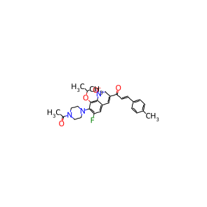 CC(=O)N1CCN(c2c(F)cc3cc(C(=O)C=Cc4ccc(C)cc4)c[n+]([O-])c3c2OC(C)C)CC1